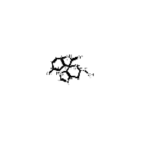 O=C1Nc2ccc(Cl)cc2C12N[C@H](CO)Cc1nc[nH]c12